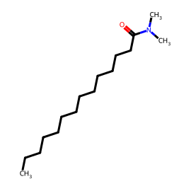 CCCCCCCCCCCCCC(=O)N(C)C